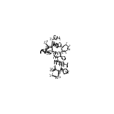 COc1ccccc1NC(=O)C(N=Nc1snc(C)c1C(=O)CO)c1nc2ccccc2c(=O)[nH]1